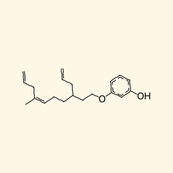 C=CCC(C)=CCCC(CC=C)CCOc1cccc(O)c1